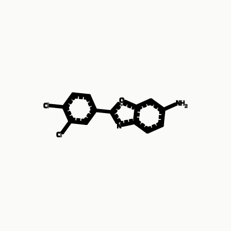 Nc1ccc2nc(-c3ccc(Cl)c(Cl)c3)oc2c1